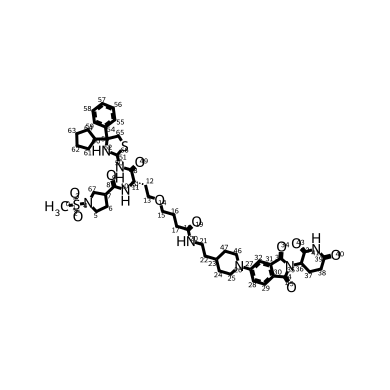 CS(=O)(=O)N1CCC(C(=O)N[C@@H](CCOCCCC(=O)NCCC2CCN(c3ccc4c(c3)C(=O)N(C3CCC(=O)NC3=O)C4=O)CC2)C(=O)NC2NC(c3ccccc3)(C3CCCC3)CS2)C1